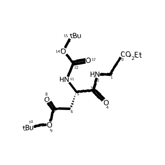 CCOC(=O)CNC(=O)[C@H](CC(=O)OC(C)(C)C)NC(=O)OC(C)(C)C